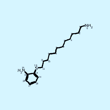 NCCCCCCCCCCCCSc1ccccc1N